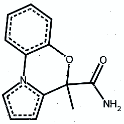 CC1(C(N)=O)Oc2ccccc2-n2cccc21